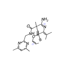 C#CC(C)(O/C=C\C)C(/N=C(/N)C(C)(C#C)C(=O)NCc1nc(C)cc(C)n1)=C(C)C